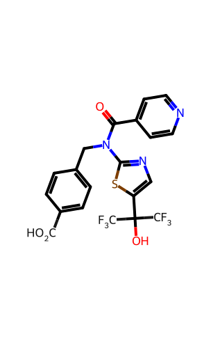 O=C(O)c1ccc(CN(C(=O)c2ccncc2)c2ncc(C(O)(C(F)(F)F)C(F)(F)F)s2)cc1